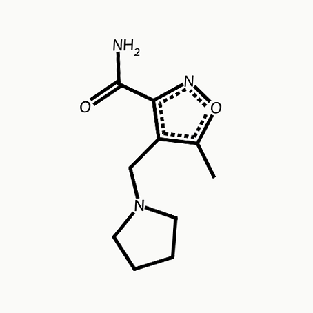 Cc1onc(C(N)=O)c1CN1CCCC1